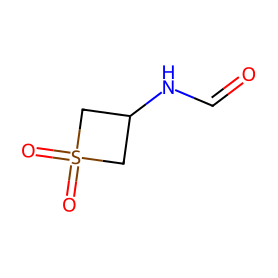 O=CNC1CS(=O)(=O)C1